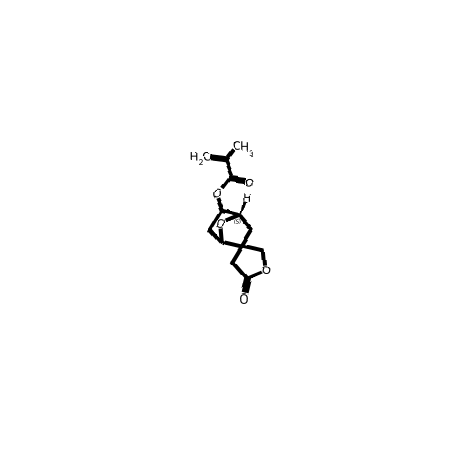 C=C(C)C(=O)OC1CC2O[C@H]1CC21COC(=O)C1